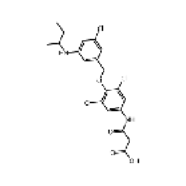 CCC(C)Nc1cc(Cl)cc(COc2c(Cl)cc(NC(=O)CC(=O)O)cc2Cl)c1